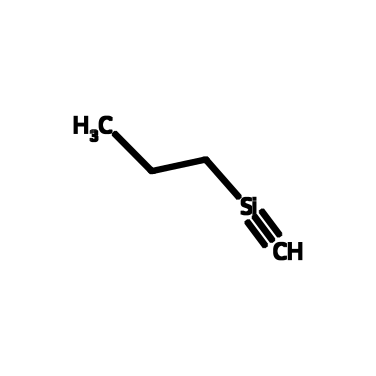 C#[Si]CCC